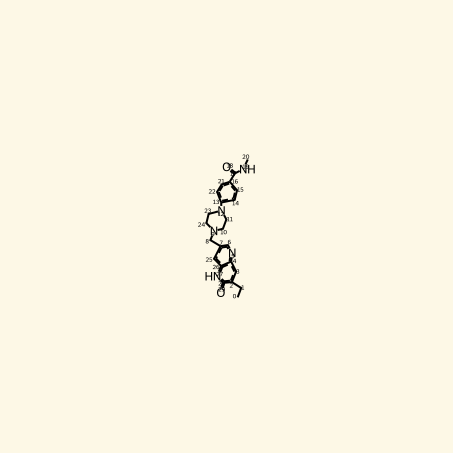 CCc1cc2ncc(CN3CCN(c4ccc(C(=O)NC)cc4)CC3)cc2[nH]c1=O